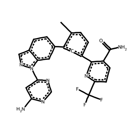 Cc1ccc(-c2nc(C(F)(F)F)ccc2C(N)=O)cc1-c1ccc2cnn(-c3cc(N)ncn3)c2c1